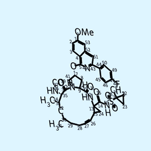 COc1ccc2c(O[C@@H]3C[C@H]4C(=O)NC5(C(=O)NS(=O)(=O)C6(C)CC6)CC5/C=C\CC[C@@H](C)C[C@@H](C)[C@H](NC(=O)O)C(=O)N4C3)nc(-c3ccc(F)cc3)cc2c1